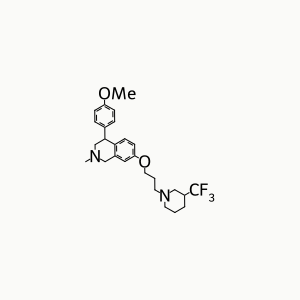 COc1ccc(C2CN(C)Cc3cc(OCCCN4CCCC(C(F)(F)F)C4)ccc32)cc1